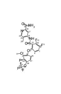 COc1c(Oc2ccc(F)c(F)c2C(=O)Nc2cc(C(N)=O)ncc2C)ccc(OC(F)(F)F)c1F